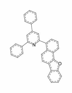 c1ccc(-c2cc(-c3ccccc3)nc(-c3cccc4c3ccc3c5ccccc5oc43)c2)cc1